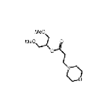 COCC(COC)OC(=O)CCN1CCOCC1